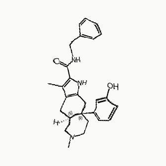 Cc1c(C(=O)NCc2ccccc2)[nH]c2c1C[C@@H]1CN(C)CC[C@@]1(c1cccc(O)c1)C2